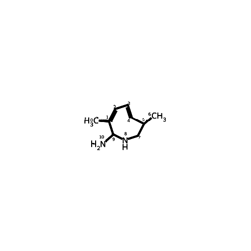 C/C1=C/C=C/C(C)CNC1N